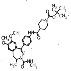 CNC(=O)N1N=C(c2ccc(NC(=O)C3CCN(C(=O)OC(C)(C)C)CC3)cc2)c2cc(OC)c(OC)cc2C[C@@H]1C